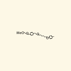 COCCOCc1ccc(CCOCCCCCCOc2ccc(C)cc2)cc1